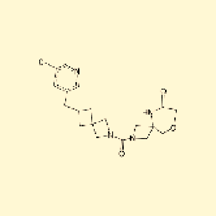 O=C1COCC2(CN(C(=O)N3CC4(CC(Cc5cncc(Cl)c5)C4)C3)C2)N1